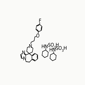 Fc1ccc(OCCCN2CCC3(CC2)c2ccccc2CCn2ccnc23)cc1.O=S(=O)(O)NC1CCCCC1.O=S(=O)(O)NC1CCCCC1